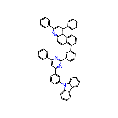 c1ccc(-c2cc(-c3cccc(-n4c5ccccc5c5ccccc54)c3)nc(-c3cccc(-c4cccc5c4ccc4nc(-c6ccccc6)cc(-c6ccccc6)c45)c3)n2)cc1